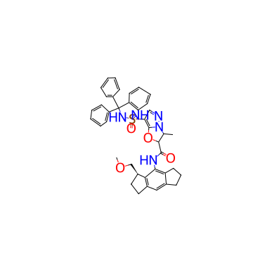 COC[C@@H]1CCc2cc3c(c(NC(=O)C4Oc5c(S(=N)(=O)NC(c6ccccc6)(c6ccccc6)c6ccccc6)cnn5C4C)c21)CCC3